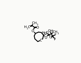 C=C(C)C(=O)OC1CCCCCC(C)(OC(C)(C)C(C)(O)C(F)(F)F)CC1